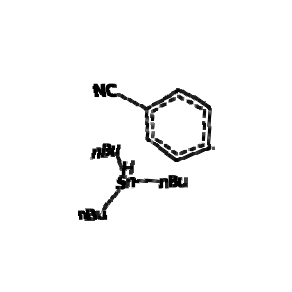 CCC[CH2][SnH]([CH2]CCC)[CH2]CCC.N#Cc1cc[c]cc1